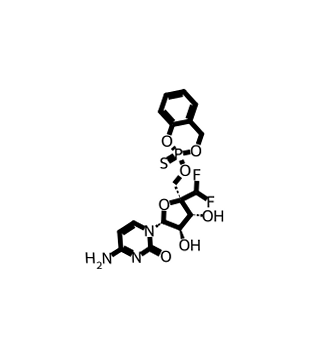 Nc1ccn([C@@H]2O[C@@](COP3(=S)OCc4ccccc4O3)(C(F)F)[C@H](O)[C@H]2O)c(=O)n1